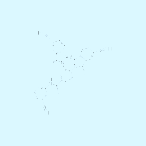 C#Cc1cccc(NC(=O)c2ccc(N3C(=O)c4ccc(C#C)cc4C3=O)c(N3C(=O)c4ccc(C#C)cc4C3=O)c2)c1